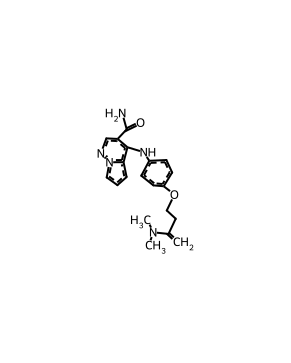 C=C(CCOc1ccc(Nc2c(C(N)=O)cnn3cccc23)cc1)N(C)C